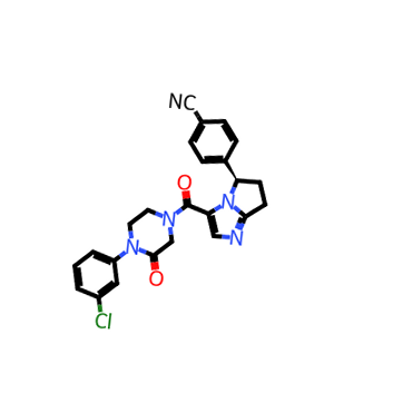 N#Cc1ccc([C@H]2CCc3ncc(C(=O)N4CCN(c5cccc(Cl)c5)C(=O)C4)n32)cc1